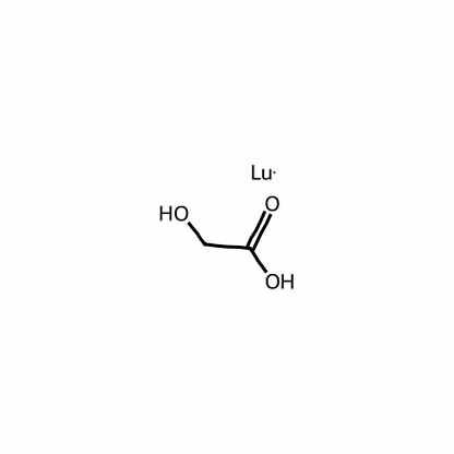 O=C(O)CO.[Lu]